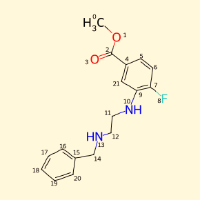 COC(=O)c1ccc(F)c(NCCNCc2ccccc2)c1